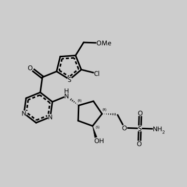 COCc1cc(C(=O)c2cncnc2N[C@@H]2C[C@H](COS(N)(=O)=O)[C@@H](O)C2)sc1Cl